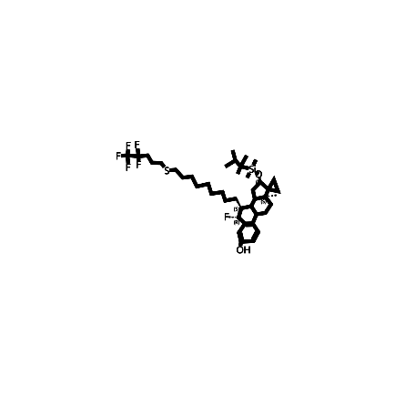 CC(C)C(C)(C)[Si](C)(C)O[C@@H]1CC2C3C(CC[C@]2(C)C12CC2)c1ccc(O)cc1[C@H](F)[C@H]3CCCCCCCCCSCCCC(F)(F)C(F)(F)F